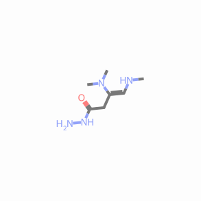 CN/C=C(/CC(=O)NN)N(C)C